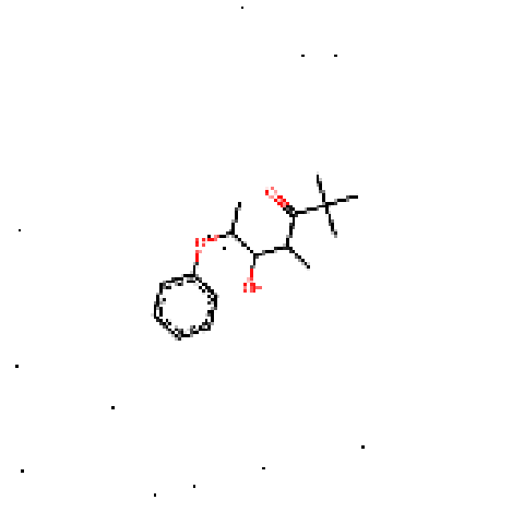 CC(Oc1ccccc1)C(O)C(C)C(=O)C(C)(C)C